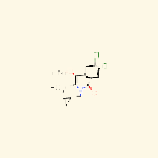 CCCCOc1c(C(=O)O)n(CC2CC2)c(=O)c2cc(Cl)c(Cl)cc12